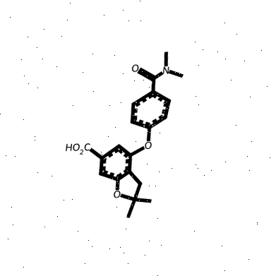 CN(C)C(=O)c1ccc(Oc2cc(C(=O)O)cc3c2CC(C)(C)O3)cc1